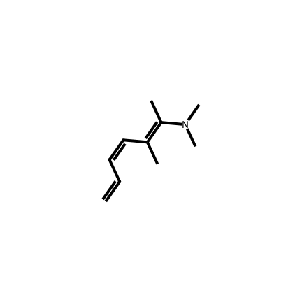 C=C/C=C\C(C)=C(/C)N(C)C